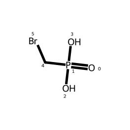 O=P(O)(O)CBr